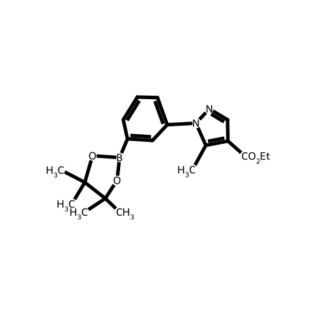 CCOC(=O)c1cnn(-c2cccc(B3OC(C)(C)C(C)(C)O3)c2)c1C